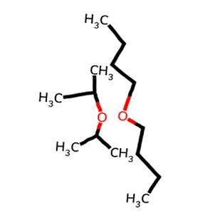 CC(C)OC(C)C.CCCCOCCCC